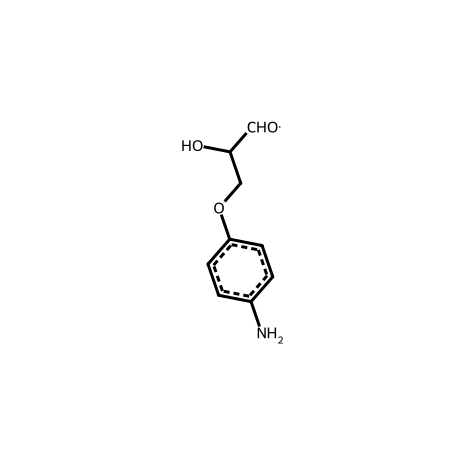 Nc1ccc(OCC(O)[C]=O)cc1